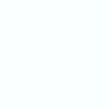 C=C(C)CC1COC2(C=CCCC2)N(C)C1=O